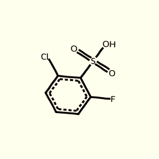 O=S(=O)(O)c1c(F)cccc1Cl